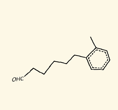 Cc1ccccc1CCCCCC=O